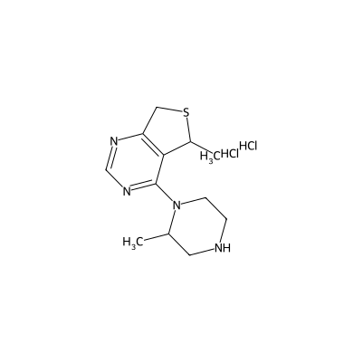 CC1SCc2ncnc(N3CCNCC3C)c21.Cl.Cl